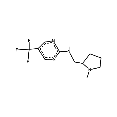 CN1CCCC1CNc1ncc(C(F)(F)F)cn1